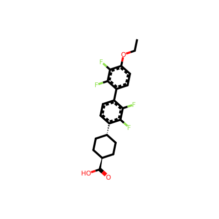 CCOc1ccc(-c2ccc([C@H]3CC[C@H](C(=O)O)CC3)c(F)c2F)c(F)c1F